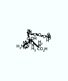 CS(=O)(=O)NCOCCOCCOCCn1nncc1CCO[C@@H]1[C@H](O)[C@@H](C[C@@H](N)CC[C@H](N)C(=O)O)O[C@H]1n1cnc2c(N)ncnc21